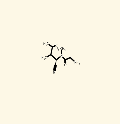 CC(C)C(C)[C@H](C#N)N(C)C(=O)CN